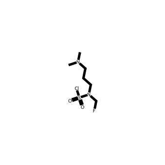 CN(C)CCCN(CF)S(=O)(=O)Cl